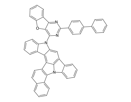 c1ccc(-c2ccc(-c3nc(-n4c5ccccc5c5c6c7ccc8ccccc8c7n7c8ccccc8c(cc54)c67)c4oc5ccccc5c4n3)cc2)cc1